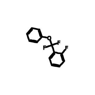 Fc1ccccc1C(F)(F)Oc1ccccc1